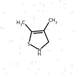 CC1=C(C)SNC1